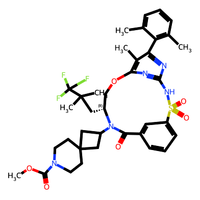 COC(=O)N1CCC2(CC1)CC(N1C(=O)c3cccc(c3)S(=O)(=O)Nc3nc(c(C)c(-c4c(C)cccc4C)n3)OC[C@H]1CC(C)(C)C(F)(F)F)C2